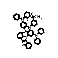 CC(C)(C)c1cccc(N2c3cc(N(c4ccccc4)c4ccccc4)ccc3B3c4c2cc(N(c2ccccc2)c2ccccc2)cc4-n2c4c3cccc4c3sc4ccccc4c32)c1